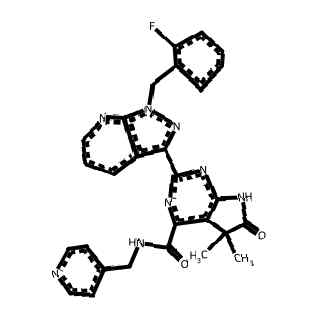 CC1(C)C(=O)Nc2nc(-c3nn(Cc4ccccc4F)c4ncccc34)nc(C(=O)NCc3ccncc3)c21